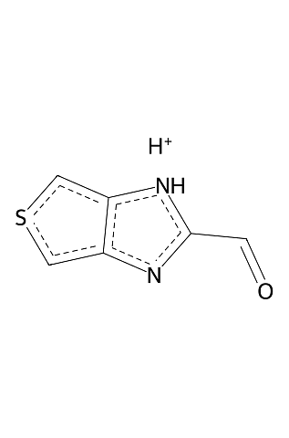 O=Cc1nc2cscc2[nH]1.[H+]